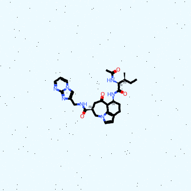 CC[C@H](C)[C@H](NC(C)=O)C(=O)N[C@H]1CCc2ccn3c2C1C(=O)C[C@H](C(=O)NCc1cn2cccnc2n1)C3